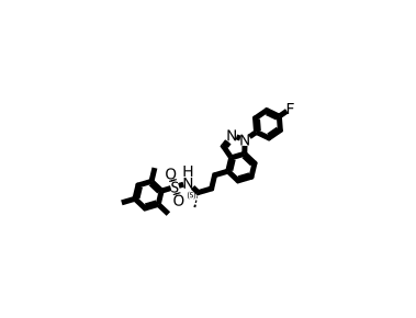 Cc1cc(C)c(S(=O)(=O)N[C@@H](C)CCc2cccc3c2cnn3-c2ccc(F)cc2)c(C)c1